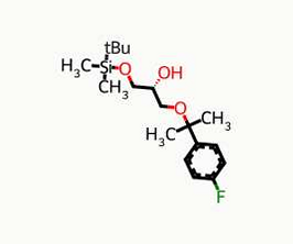 CC(C)(OC[C@@H](O)CO[Si](C)(C)C(C)(C)C)c1ccc(F)cc1